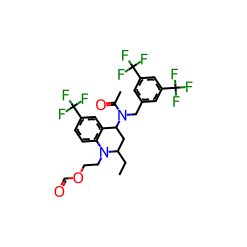 CCC1CC(N(Cc2cc(C(F)(F)F)cc(C(F)(F)F)c2)C(C)=O)c2cc(C(F)(F)F)ccc2N1CCOC=O